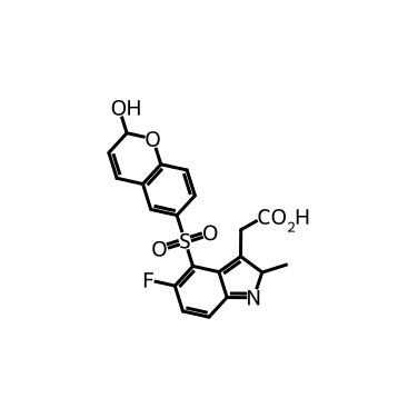 CC1N=c2ccc(F)c(S(=O)(=O)c3ccc4c(c3)C=CC(O)O4)c2=C1CC(=O)O